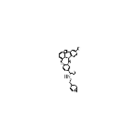 O=C(NCCc1ccncc1)c1ccc2c(c1)N=C(c1ccc(Cl)cc1Cl)c1ccccc1S2